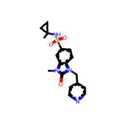 Cn1c(=O)n(Cc2ccncc2)c2ccc(S(=O)(=O)NC3(C)CC3)cc21